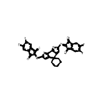 O=c1c(=Nc2cc3c(s2)-c2sc(N=c4c(=O)c5cc(F)c(F)cc5c4=O)cc2C32CCCCC2)c(=O)c2cc(F)c(F)cc12